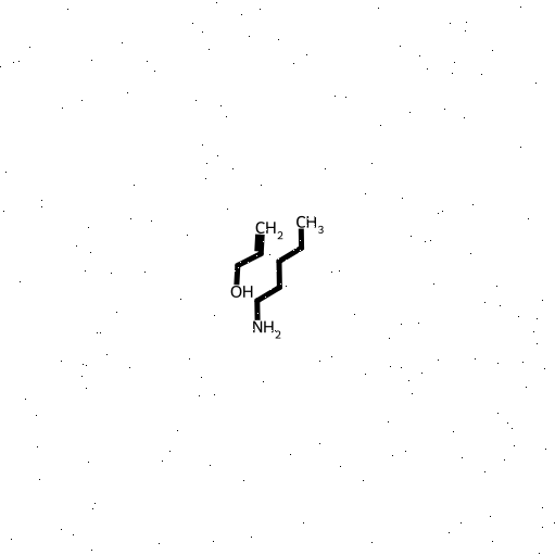 C=CCO.CCCCCN